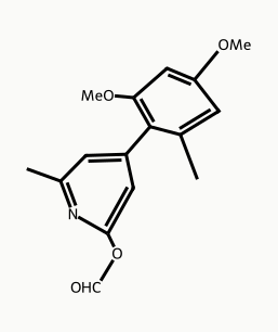 COc1cc(C)c(-c2cc(C)nc(OC=O)c2)c(OC)c1